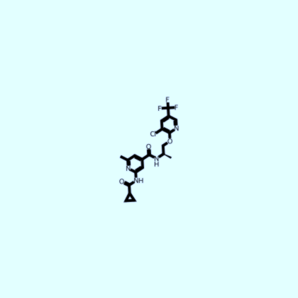 Cc1cc(C(=O)N[C@H](C)COc2ncc(C(F)(F)F)cc2Cl)cc(NC(=O)C2CC2)n1